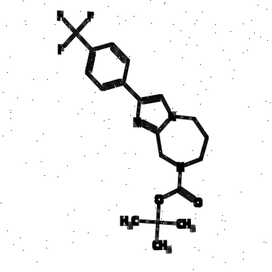 CC(C)(C)OC(=O)N1CCCn2cc(-c3ccc(C(F)(F)F)cc3)nc2C1